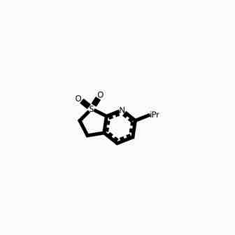 CC(C)c1ccc2c(n1)S(=O)(=O)CC2